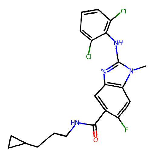 Cn1c(Nc2c(Cl)cccc2Cl)nc2cc(C(=O)NCCCC3CC3)c(F)cc21